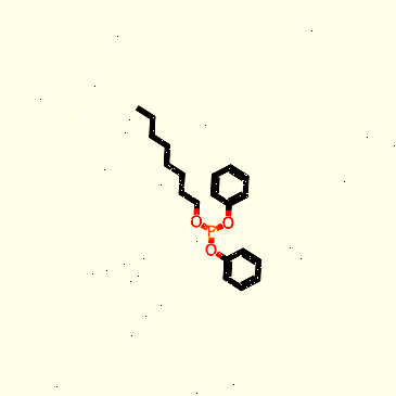 CCCCCCCCOP(Oc1ccccc1)Oc1ccccc1